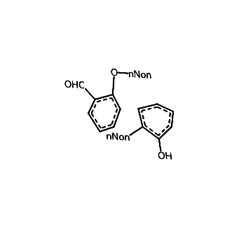 CCCCCCCCCOc1ccccc1C=O.CCCCCCCCCc1ccccc1O